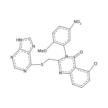 COc1ccc([N+](=O)[O-])cc1-n1c(CSc2ncnc3[nH]cnc23)nc2cccc(Cl)c2c1=O